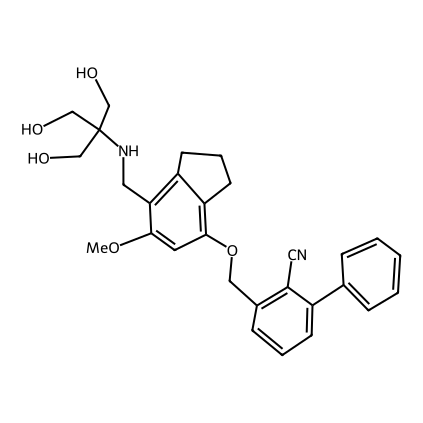 COc1cc(OCc2cccc(-c3ccccc3)c2C#N)c2c(c1CNC(CO)(CO)CO)CCC2